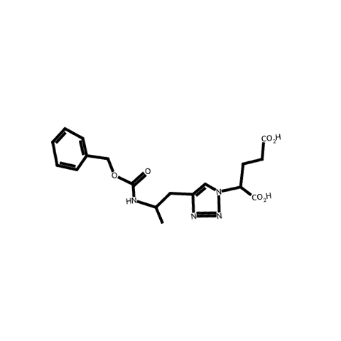 CC(Cc1cn(C(CCC(=O)O)C(=O)O)nn1)NC(=O)OCc1ccccc1